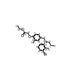 CCCN(Cc1ccc(OCC(=O)OCC)c(C)c1)c1cccc(Br)c1C